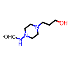 O=[C]NN1CCN(CCCO)CC1